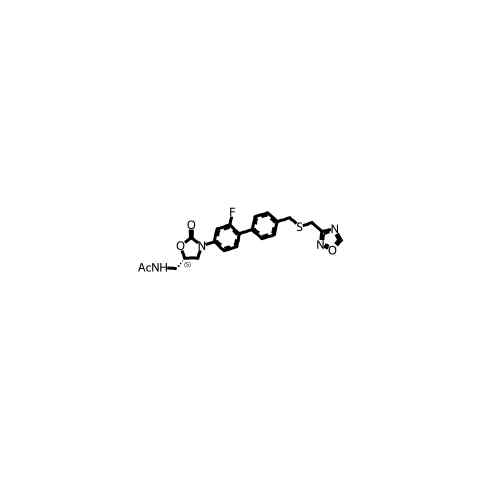 CC(=O)NC[C@H]1CN(c2ccc(-c3ccc(CSCc4ncon4)cc3)c(F)c2)C(=O)O1